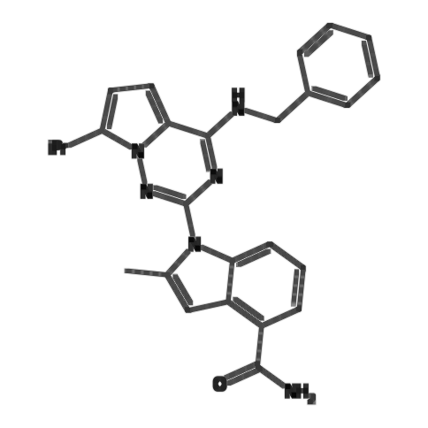 Cc1cc2c(C(N)=O)cccc2n1-c1nc(NCc2ccccc2)c2ccc(C(C)C)n2n1